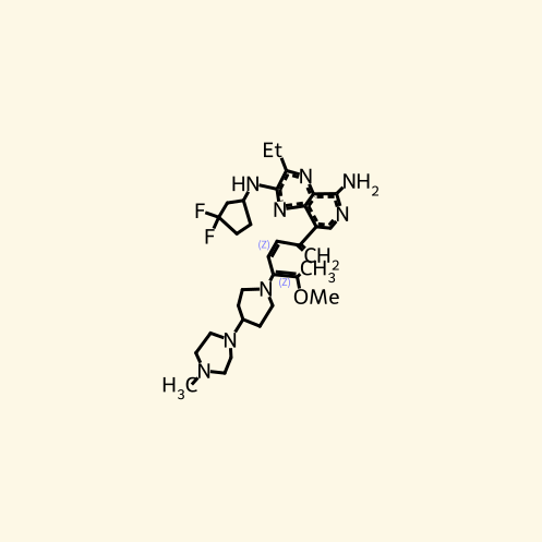 C=C(/C=C\C(=C(/C)OC)N1CCC(N2CCN(C)CC2)CC1)c1cnc(N)c2nc(CC)c(NC3CCC(F)(F)C3)nc12